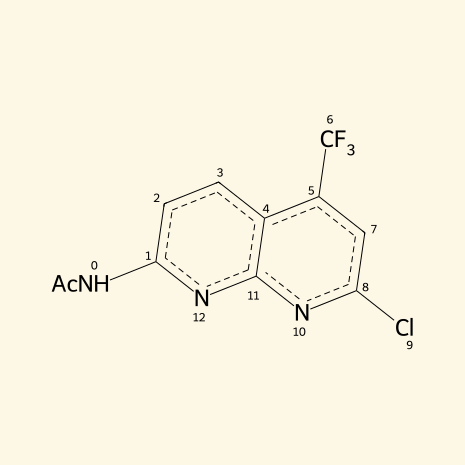 CC(=O)Nc1ccc2c(C(F)(F)F)cc(Cl)nc2n1